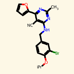 Cc1nc(NCc2ccc(OC(C)C)c(Br)c2)c(C#N)c(-c2ccco2)n1